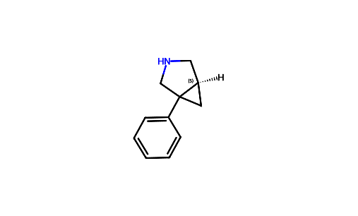 c1ccc(C23CNC[C@H]2C3)cc1